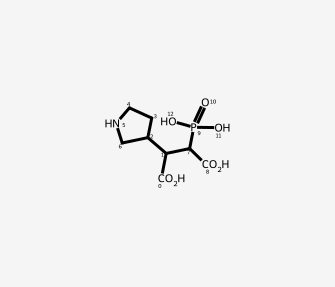 O=C(O)C(C1CCNC1)C(C(=O)O)P(=O)(O)O